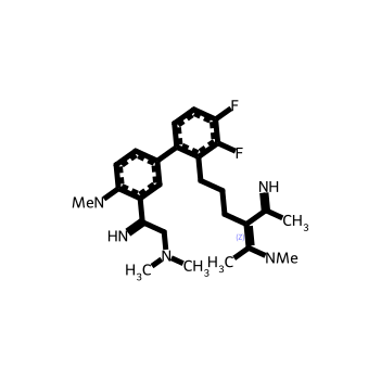 CN/C(C)=C(/CCCc1c(-c2ccc(NC)c(C(=N)CN(C)C)c2)ccc(F)c1F)C(C)=N